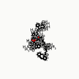 CCC(C)C(C(CC(=O)N1CCCC1C(OC)C(C)C(O)NC(C)C(OC1OC(CO)C(O)C(O)C1O)c1ccccc1)OC)N(C)C(=O)C(NC(=O)C(C(C)C)N(C)C(=O)OCc1ccc(NC(=O)C(CCCNC(N)=O)NC(=O)C(NC(=O)CCC(=O)N2Cc3ccccc3C#Cc3ccccc32)C(C)C)cc1)C(C)C